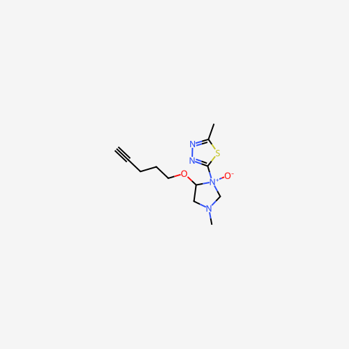 C#CCCCOC1CN(C)C[N+]1([O-])c1nnc(C)s1